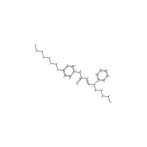 CCCCCCCCc1cnc(OC(=O)/C=C/C(CCCCC)c2ccccc2)nc1